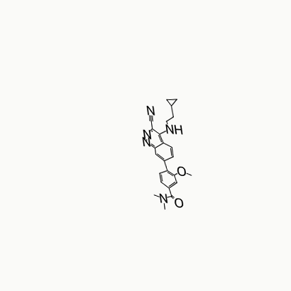 COc1cc(C(=O)N(C)C)ccc1-c1ccc2c(NCCC3CC3)c(C#N)nnc2c1